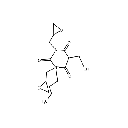 CCCC[N+]1(CC2CO2)C(=O)C(CC)C(=O)N(CC2CO2)C1=O